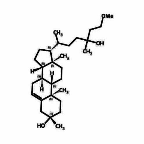 COCCC(C)(O)CCC(C)[C@H]1CC[C@H]2[C@@H]3CC=C4C[C@@](C)(O)CC[C@]4(C)[C@H]3CC[C@]12C